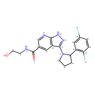 O=C(NCCO)c1cnc2[nH]nc(N3CCCC3c3cc(F)ccc3F)c2c1